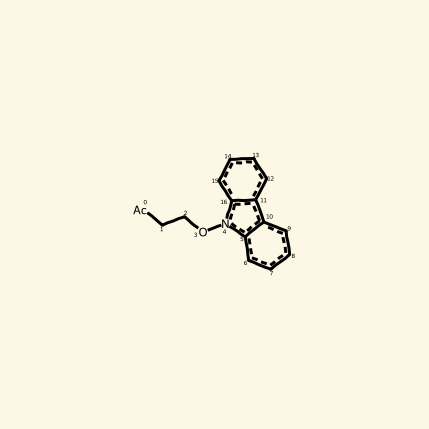 CC(=O)CCOn1c2ccccc2c2ccccc21